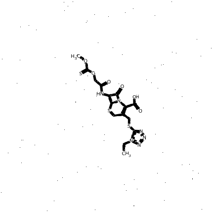 CCn1nnnc1SCC1=C(C(=O)O)N2C(=O)C(NC(=O)COC(=S)OC)C2SC1